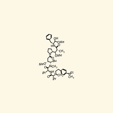 CC[C@H](C)[C@@H]([C@@H](CC(=O)N1CCC[C@H]1[C@H](OC)[C@@H](C)C(=O)N[C@@H](Cc1ccccc1)C(O)OC)OC)N(C)C(=O)[C@@H](NC(=O)[C@H](C(C)C)N(C)CCc1ccc(N(C)CC)cc1)C(C)C